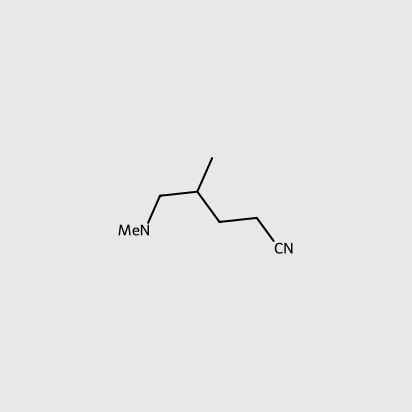 CNCC(C)CCC#N